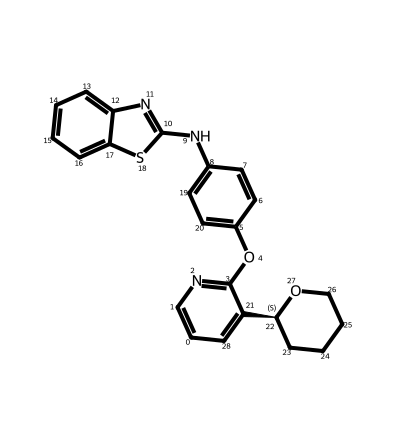 c1cnc(Oc2ccc(Nc3nc4ccccc4s3)cc2)c([C@@H]2CCCCO2)c1